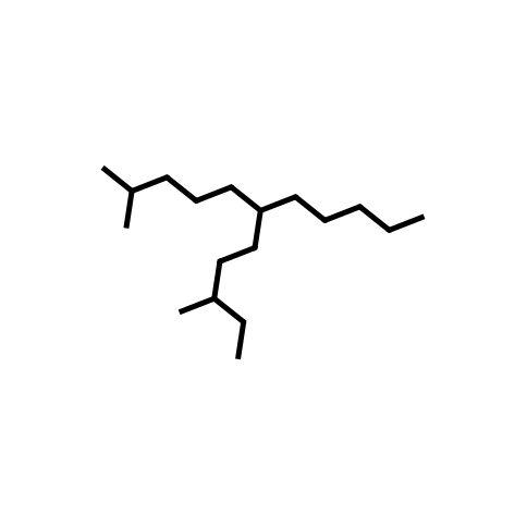 CCCCCC(CCCC(C)C)CCC(C)CC